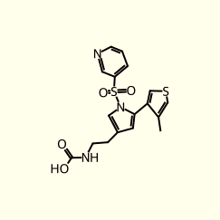 Cc1cscc1-c1cc(CCNC(=O)O)cn1S(=O)(=O)c1cccnc1